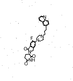 O=C1CCC(N2Cc3cc(N4CCN(CCCc5ccc6ncccc6c5)CC4)c(F)cc3C2=O)C(=O)N1